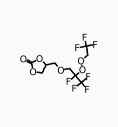 O=C1OCC(COCC(F)(OOCC(F)(F)F)C(F)(F)F)O1